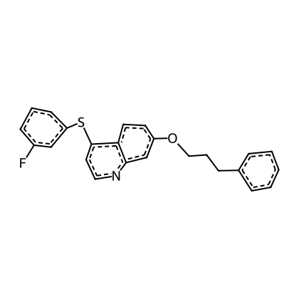 Fc1cccc(Sc2ccnc3cc(OCCCc4ccccc4)ccc23)c1